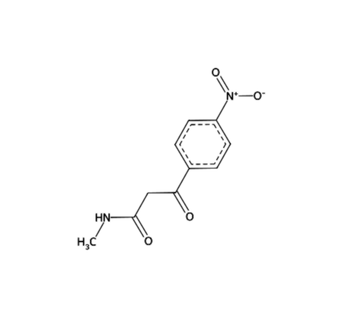 CNC(=O)CC(=O)c1ccc([N+](=O)[O-])cc1